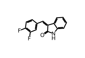 O=C1Nc2ccccc2C1=Cc1ccc(F)c(F)c1